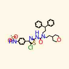 CS(=O)(=O)Nc1ccc(-c2nc(NC(=O)N(CCC3CCOCC3)CCC(c3ccccc3)c3ccccc3)sc2Cl)cc1